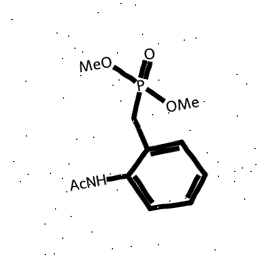 COP(=O)(Cc1ccccc1NC(C)=O)OC